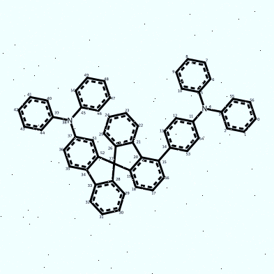 c1ccc(N(c2ccccc2)c2ccc(-c3cccc4c3-c3ccccc3C43c4ccccc4-c4ccc(N(c5ccccc5)c5ccccc5)cc43)cc2)cc1